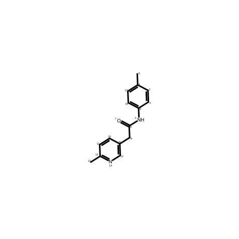 Cc1ccc(NC(=O)Cc2ccc(C)nc2)cc1